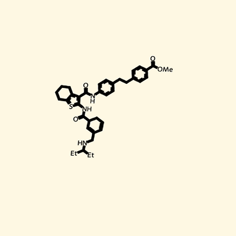 CCC(CC)NCC1=CC(C(=O)Nc2sc3c(c2C(=O)Nc2ccc(CCc4ccc(C(=O)OC)cc4)cc2)CCCC3)CC=C1